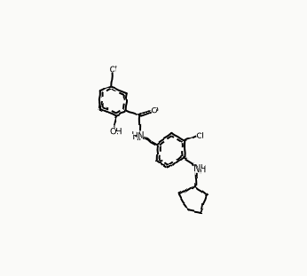 O=C(Nc1ccc(NC2CCCC2)c(Cl)c1)c1cc(Cl)ccc1O